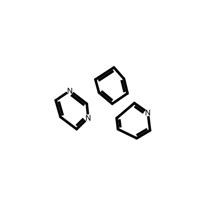 c1ccccc1.c1ccncc1.c1cncnc1